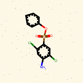 Nc1cc(Cl)c(S(=O)(=O)Oc2ccccc2)cc1Cl